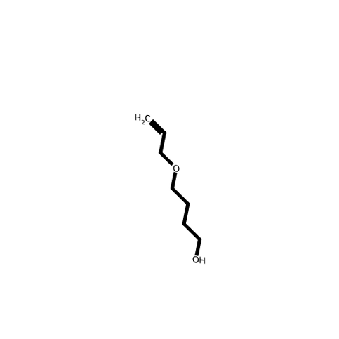 C=CCOCCCCO